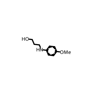 COc1ccc(NCCCO)cc1